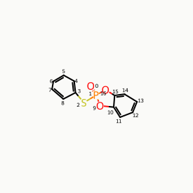 O=P1(Sc2ccccc2)Oc2ccccc2O1